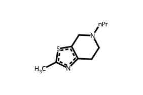 CCCN1CCc2nc(C)sc2C1